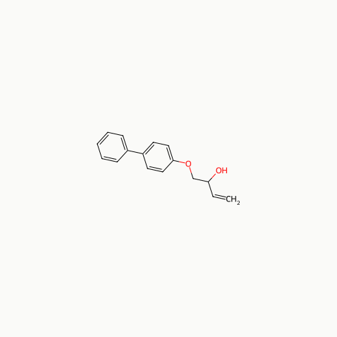 C=CC(O)COc1ccc(-c2ccccc2)cc1